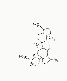 CC(NC(=O)C12CCC(C(C)C)C1C1CCC3C4(C)CCCC(C)C4CCC3(C)C1CC2)C(=O)O